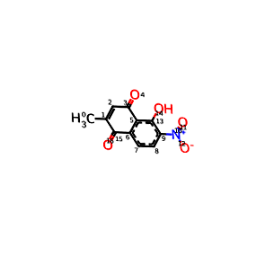 CC1=CC(=O)c2c(ccc([N+](=O)[O-])c2O)C1=O